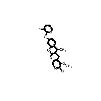 COc1c(Cc2c(C)c3ccc(Oc4ncccc4F)cc3oc2=O)ccnc1Br